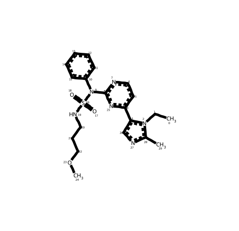 CCn1c(-c2ccnc(N(c3ccccc3)S(=O)(=O)NCCCOC)n2)cnc1C